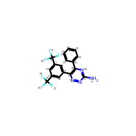 Nc1nnc(-c2cc(C(F)(F)F)cc(C(F)(F)F)c2)c(-c2ccccc2)n1